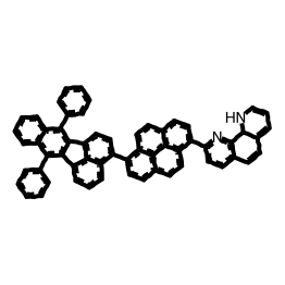 C1=CNC2C(=C1)C=Cc1ccc(-c3ccc4ccc5c(-c6ccc7c8c(cccc68)-c6c-7c(-c7ccccc7)c7ccccc7c6-c6ccccc6)ccc6ccc3c4c65)nc12